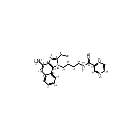 CCc1nc2c(N)nc3ccccc3c2n1CCCCNC(=O)c1cnccn1